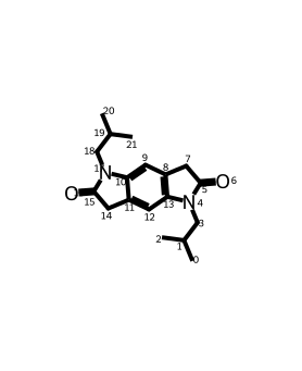 CC(C)CN1C(=O)Cc2cc3c(cc21)CC(=O)N3CC(C)C